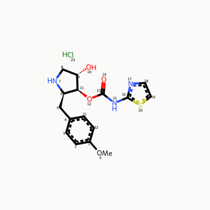 COc1ccc(C[C@H]2NC[C@H](O)[C@H]2OC(=O)Nc2nccs2)cc1.Cl